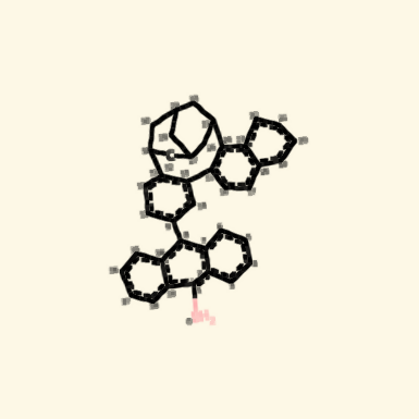 Bc1c2ccccc2c(-c2ccc3c(c2)-c2ccc4ccccc4c2C2CC4CC(CC3C4)C2)c2ccccc12